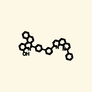 Oc1cccc2c1nc(-c1ccc(-c3cccc(-c4ccc5ccc6ccc(-c7ccccc7)nc6c5n4)c3)cc1)c1ccc3ccccc3c12